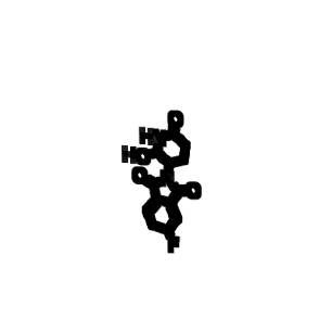 O=C1CCC(N2C(=O)C3=CCC(F)C=C3C2=O)C(O)N1